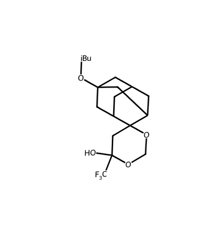 CCC(C)OC12CC3CC(C1)C1(CC(O)(C(F)(F)F)OCO1)C(C3)C2